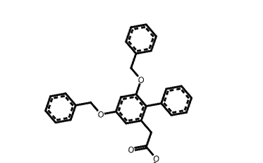 COC(=O)Cc1cc(OCc2ccccc2)cc(OCc2ccccc2)c1-c1ccccc1